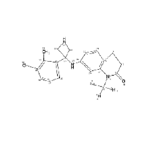 [2H]C([2H])([2H])N1C(=O)CCc2ccc(NC3(c4cccc(Cl)c4C)CNC3)cc21